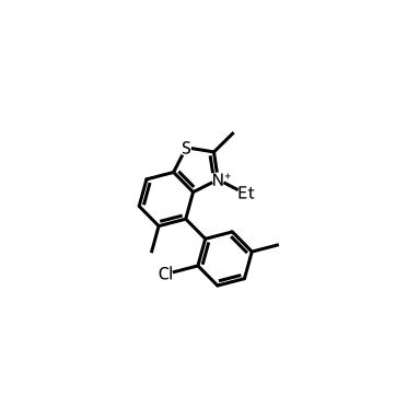 CC[n+]1c(C)sc2ccc(C)c(-c3cc(C)ccc3Cl)c21